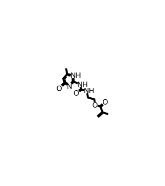 C=C(C)C(=O)OCCNC(=O)Nc1nc(=O)cc(C)[nH]1